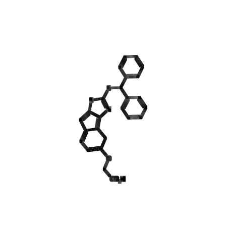 O=C(O)COC1=CC=C2C=c3sc(SC(c4ccccc4)c4ccccc4)nc3=C2C1